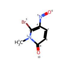 Cn1c(Br)c(N=O)ccc1=O